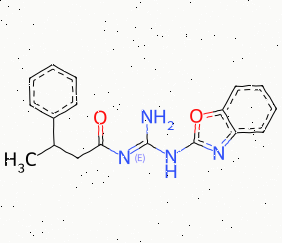 CC(CC(=O)/N=C(\N)Nc1nc2ccccc2o1)c1ccccc1